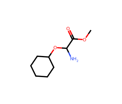 COC(=O)C(N)OC1CCCCC1